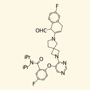 CC(C)N(C(=O)c1cc(F)ccc1Oc1cncnc1N1CC2(CCN(C3=CCc4cc(F)ccc4C3C=O)C2)C1)C(C)C